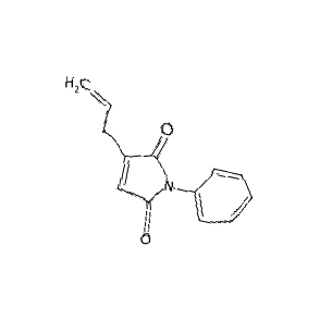 C=CCC1=CC(=O)N(c2ccccc2)C1=O